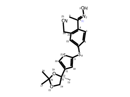 C/C(=N\O)c1ccc(Sc2cc([C@@]3(C)COC(C)(C)O3)cs2)cc1CC#N